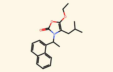 CCOc1oc(=O)n(C(C)c2cccc3ccccc23)c1CC(C)C